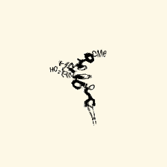 COc1ccc([C@H](C)C(=O)NC(CNC(=O)[C@@H]2CCCN(C(=O)CCC3CCNCC3)C2)C(=O)O)cc1